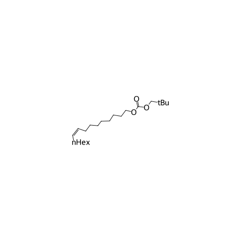 CCCCCC/C=C\CCCCCCCCOC(=O)OCC(C)(C)C